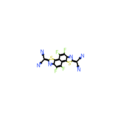 N#CC(C#N)=c1nc2c(F)c(F)c3c4sc(=C(C#N)C#N)nc4c(F)c(F)c3c2s1